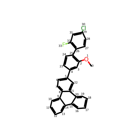 COc1cc(-c2ccc3c4ccccc4c4ccccc4c3c2)ccc1-c1ccc(Cl)cc1F